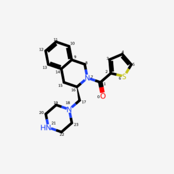 O=C(c1cccs1)N1Cc2ccccc2C[C@@H]1CN1CCNCC1